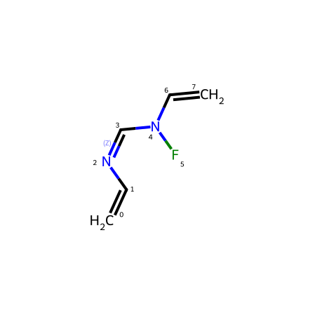 C=C/N=C\N(F)C=C